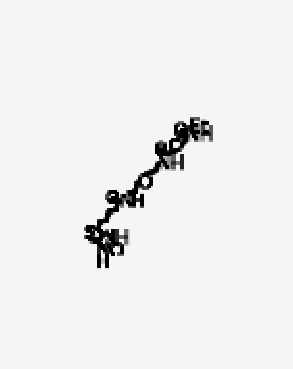 CCNC(=O)COCC(=O)NCCCOCCCNC(=O)CCCCC1SCC2NC(=O)NC21